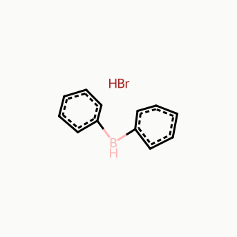 B(c1ccccc1)c1ccccc1.Br